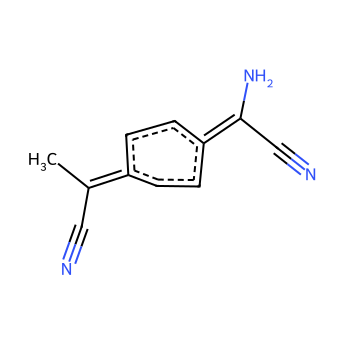 CC(C#N)=c1ccc(=C(N)C#N)cc1